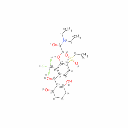 CCN(CC)C(=O)COc1c(S(=O)(=O)CC)ccc(C(=O)C2=C(O)CCCC2=O)c1C(F)(F)F